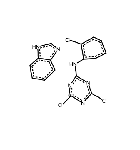 Clc1nc(Cl)nc(Nc2ccccc2Cl)n1.c1ccc2[nH]cnc2c1